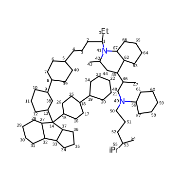 CCC(CCCC1CCC(C2CCCC(C3(C4CCC(C5CCCCC5)CC4)C4CCCCC4C4CCCC43)C2)CC1)N1C(C)CC(C(C)CN(CCCC(C)C(C)C)C2CCCCC2)C2CCCCC21